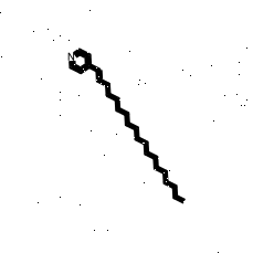 CCCCCCCCCCCCCCCCCC=Cc1ccncc1